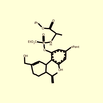 C=C(C)C1CCC(CO)=CC1c1c(O)cc(CCCCC)cc1OP(=O)(NC(C)C(=O)OC(C)C)C(=O)OCC